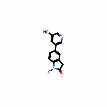 CN1C(=O)Cc2cc(-c3cncc(C#N)c3)ccc21